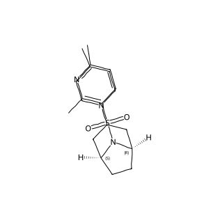 Cc1ccc(S(=O)(=O)N2[C@@H]3CC[C@H]2CC(N2CCC(C)CC2)C3)c(C)n1